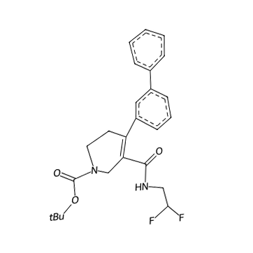 CC(C)(C)OC(=O)N1CCC(c2cccc(-c3ccccc3)c2)=C(C(=O)NCC(F)F)C1